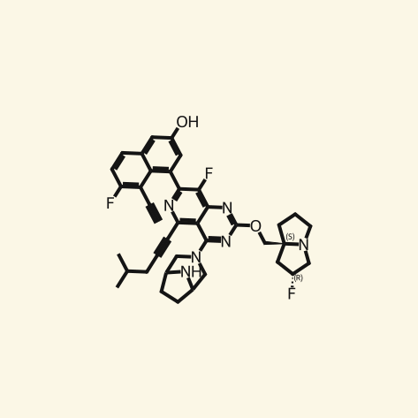 C#Cc1c(F)ccc2cc(O)cc(-c3nc(C#CCC(C)C)c4c(N5CC6CCC(C5)N6)nc(OC[C@@]56CCCN5C[C@H](F)C6)nc4c3F)c12